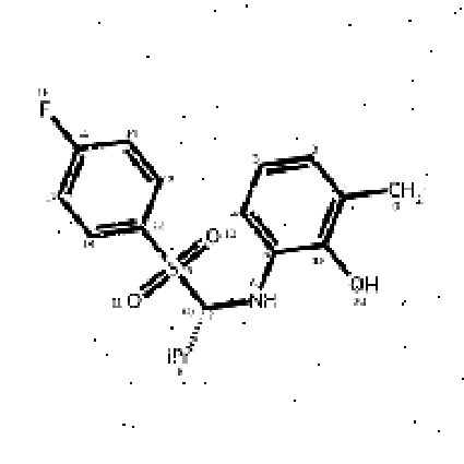 [CH2]c1cccc(N[C@H](C(C)C)S(=O)(=O)c2ccc(F)cc2)c1O